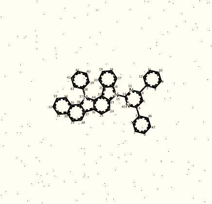 c1ccc(-c2cc(-c3ccccc3)nc(-n3c4ccccc4c4c3ccc3c5ccc6ccccc6c5n(-c5ccccc5)c34)n2)cc1